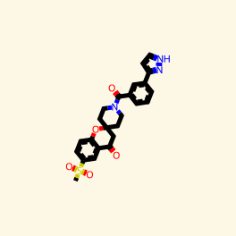 CS(=O)(=O)c1ccc2c(c1)C(=O)CC1(CCN(C(=O)c3cccc(-c4cc[nH]n4)c3)CC1)O2